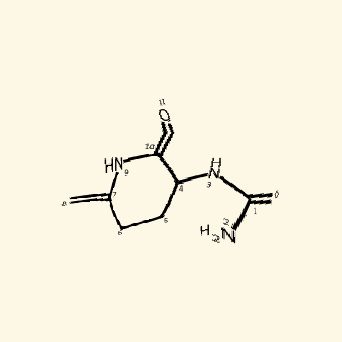 C=C(N)NC1CCC(=C)NC1=O